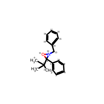 CC(C)(C)C1(c2ccccc2)ON1Cc1ccccc1